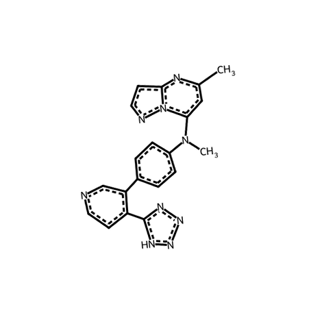 Cc1cc(N(C)c2ccc(-c3cnccc3-c3nnn[nH]3)cc2)n2nccc2n1